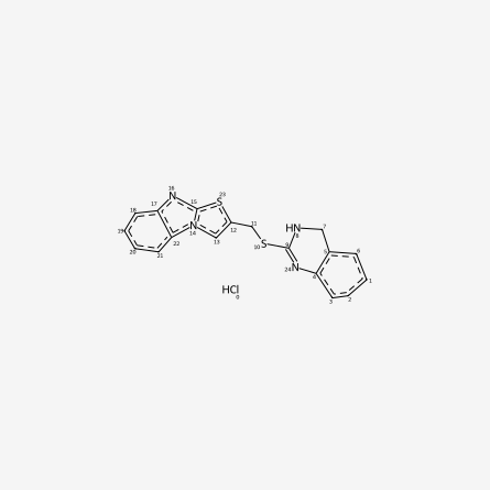 Cl.c1ccc2c(c1)CNC(SCc1cn3c(nc4ccccc43)s1)=N2